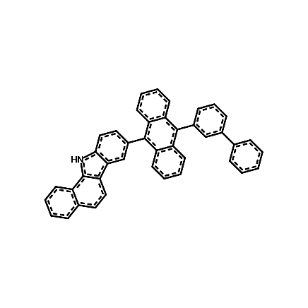 c1ccc(-c2cccc(-c3c4ccccc4c(-c4ccc5[nH]c6c7ccccc7ccc6c5c4)c4ccccc34)c2)cc1